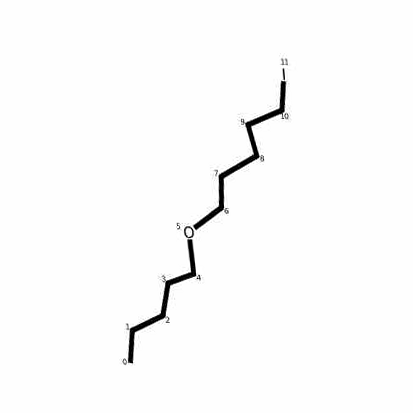 CCCCCOCCCCCI